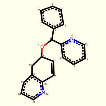 C1=CC(OC(c2ccccc2)c2ccccn2)Cc2cccnc21